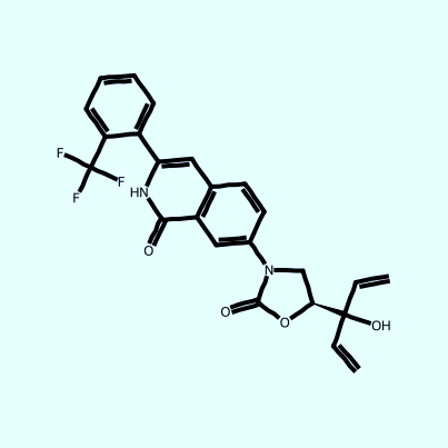 C=CC(O)(C=C)[C@@H]1CN(c2ccc3cc(-c4ccccc4C(F)(F)F)[nH]c(=O)c3c2)C(=O)O1